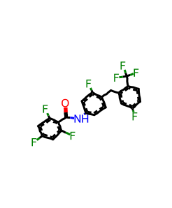 O=C(Nc1ccc(Cc2cc(F)ccc2C(F)(F)F)c(F)c1)c1c(F)cc(F)cc1F